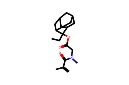 C=C(C)C(=O)N(C)CC(=O)OC1(CC)C2CC3CC(C2)CC1C3